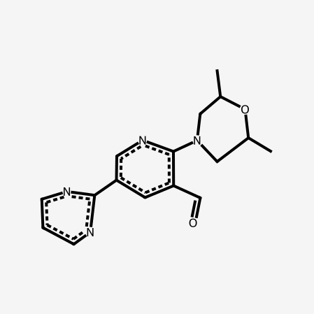 CC1CN(c2ncc(-c3ncccn3)cc2C=O)CC(C)O1